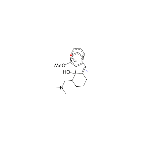 COc1ccccc1C1(O)/C(=C\c2ccccc2)CCCC1CN(C)C